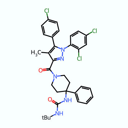 Cc1c(C(=O)N2CCC(NC(=O)NC(C)(C)C)(c3ccccc3)CC2)nn(-c2ccc(Cl)cc2Cl)c1-c1ccc(Cl)cc1